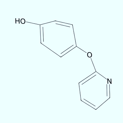 Oc1ccc(Oc2ccccn2)cc1